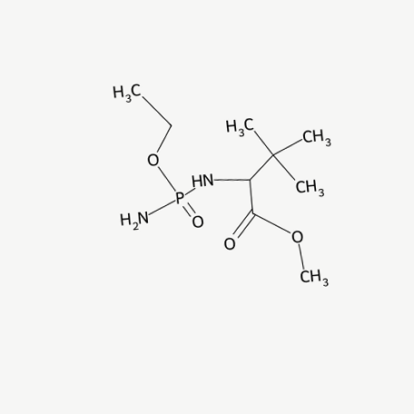 CCOP(N)(=O)NC(C(=O)OC)C(C)(C)C